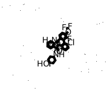 C[C@H]1c2c(ccc(Cl)c2-c2c(C(N)=O)ccc(OC(F)F)c2F)O[C@]1(CN[C@H]1CC[C@@](C)(O)CC1)c1ccccc1